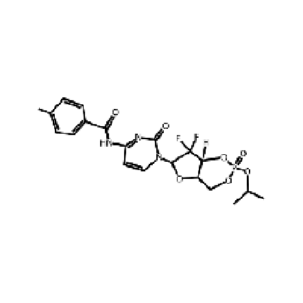 Cc1ccc(C(=O)Nc2ccn(C3OC4COP(=O)(OC(C)C)O[C@H]4C3(F)F)c(=O)n2)cc1